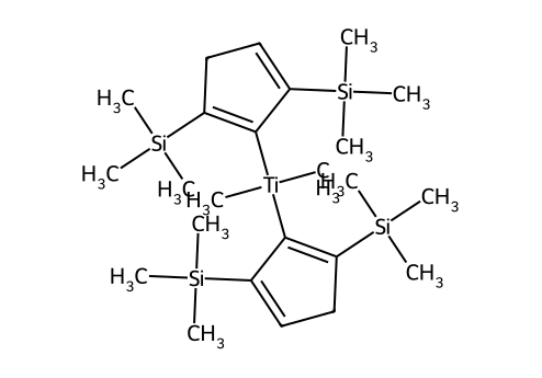 C[Si](C)(C)C1=CCC([Si](C)(C)C)=[C]1[Ti]([CH3])([CH3])[C]1=C([Si](C)(C)C)CC=C1[Si](C)(C)C